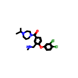 CNCc1cc(C(=O)N2CCCN(C(C)C)CC2)ccc1Oc1ccc(Cl)c(Cl)c1